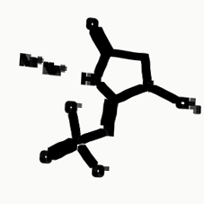 CN1CC(=O)N/C1=N\P(=O)([O-])[O-].[Na+].[Na+]